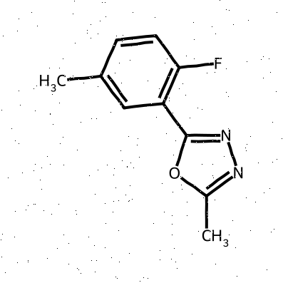 Cc1ccc(F)c(-c2nnc(C)o2)c1